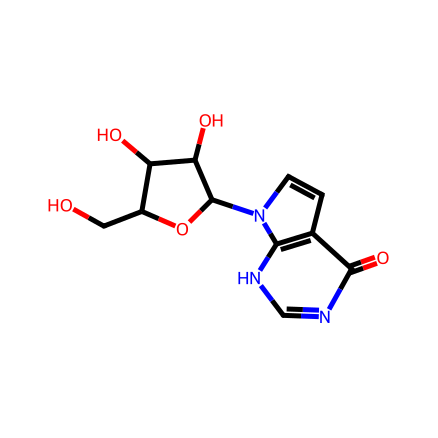 O=c1nc[nH]c2c1ccn2C1OC(CO)C(O)C1O